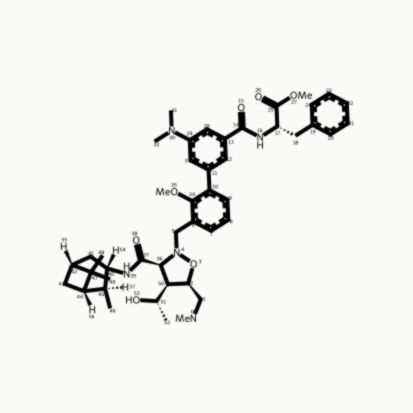 CNC[C@@H]1ON(Cc2cccc(-c3cc(C(=O)N[C@@H](Cc4ccccc4)C(=O)OC)cc(N(C)C)c3)c2OC)[C@H](C(=O)N[C@H]2C[C@H]3C[C@@H]([C@@H]2C)C3(C)C)[C@@H]1[C@H](C)O